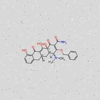 CN(C)[C@@H]1C(OCc2ccccc2)=C(C(N)=O)C(=O)[C@@]2(O)C(O)=C3C(=O)c4c(O)cccc4C[C@H]3C[C@H]12